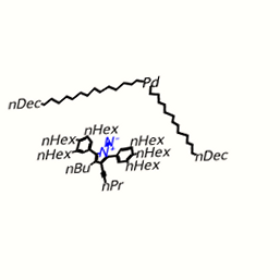 CCCC#CC1=C(c2cc(CCCCCC)c(CCCCCC)c(CCCCCC)c2)[N+](=[N-])C(c2cc(CCCCCC)c(CCCCCC)c(CCCCCC)c2)=C1CCCC.CCCCCCCCCCCCCCCCCCCCCCC[CH2][Pd][CH2]CCCCCCCCCCCCCCCCCCCCCCC